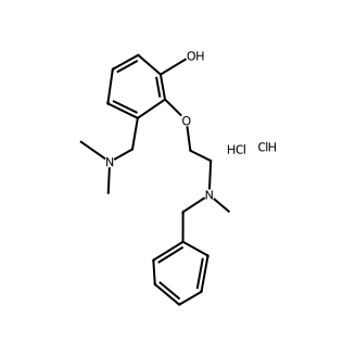 CN(C)Cc1cccc(O)c1OCCN(C)Cc1ccccc1.Cl.Cl